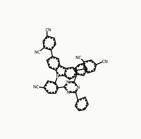 N#Cc1ccc(-c2ccc3c(c2)c2cc(-c4ccc(C#N)cc4C#N)ccc2n3-c2cc(C#N)ccc2-c2nc(-c3ccccc3)nc(-c3ccccc3)n2)c(C#N)c1